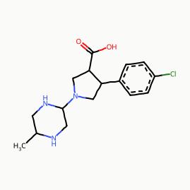 CC1CNC(N2CC(C(=O)O)C(c3ccc(Cl)cc3)C2)CN1